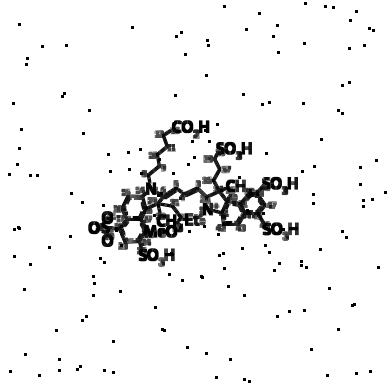 CC[N+]1=C(/C=C/C=C2/N(CCCCCC(=O)O)c3ccc4c(S(=O)(=O)[O-])cc(S(=O)(=O)O)cc4c3C2(C)CCOC)C(C)(CCCS(=O)(=O)O)c2c1ccc1c(S(=O)(=O)O)cc(S(=O)(=O)O)cc21